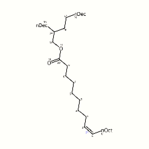 CCCCCCCC/C=C\CCCCCCCC(=O)OCC(CCCCCCCCCC)CCCCCCCCCCCC